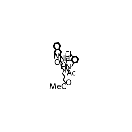 COC(=O)CCC[C@@H](COC(=O)Nc1cc2ccccc2cn1)N(NCc1cccc(Cl)c1F)C(C)=O